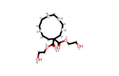 O=C(OCCO)C1(C(=O)OCCO)CCCCCCCCCCC1